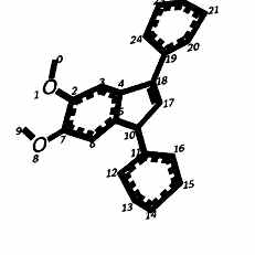 COc1cc2c(cc1OC)C(c1ccccc1)C=C2c1ccccc1